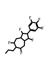 CCCC1C(F)CC2C(F)C(c3cc(F)c(F)c(F)c3)C(F)C2CC1F